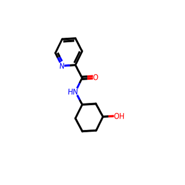 O=C(NC1CCCC(O)C1)c1ccccn1